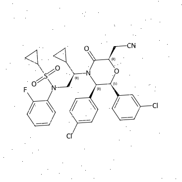 N#CC[C@H]1O[C@@H](c2cccc(Cl)c2)[C@@H](c2ccc(Cl)cc2)N([C@@H](CN(c2ccccc2F)S(=O)(=O)C2CC2)C2CC2)C1=O